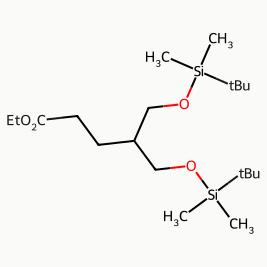 CCOC(=O)CCC(CO[Si](C)(C)C(C)(C)C)CO[Si](C)(C)C(C)(C)C